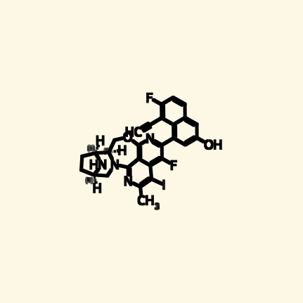 C#Cc1c(F)ccc2cc(O)cc(-c3nc4c5c(nc(C)c(I)c5c3F)N3C[C@H]5CC[C@H](N5)[C@H]3CO4)c12